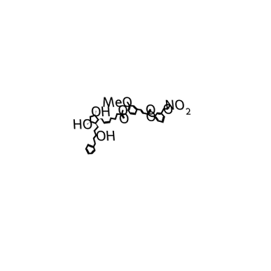 COc1cc(/C=C/C(=O)Oc2cccc(CO[N+](=O)[O-])c2)ccc1OC(=O)CCC/C=C\C[C@@H]1[C@@H](CC[C@@H](O)CCc2ccccc2)[C@H](O)C[C@@H]1O